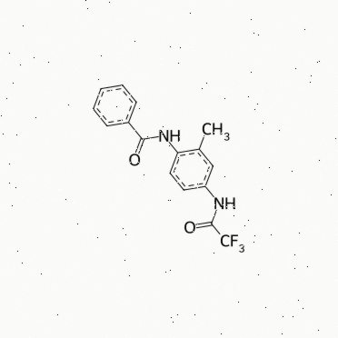 Cc1cc(NC(=O)C(F)(F)F)ccc1NC(=O)c1ccccc1